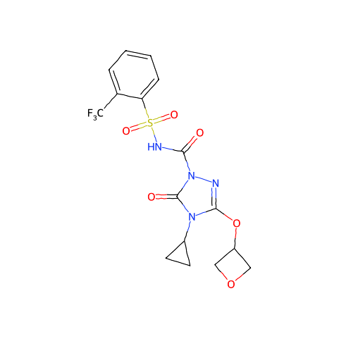 O=C(NS(=O)(=O)c1ccccc1C(F)(F)F)n1nc(OC2COC2)n(C2CC2)c1=O